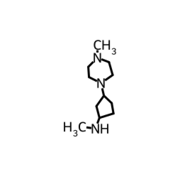 CNC1CCC(N2CCN(C)CC2)C1